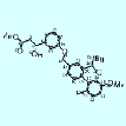 COC(=O)C[C@@H](O)c1cccc(OCc2ccc(-c3cc(OC)ccc3F)c(C(Cl)C(C)(C)C)c2)c1